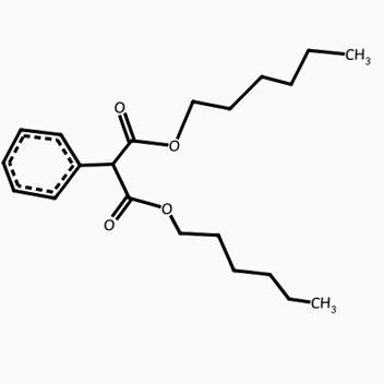 CCCCCCOC(=O)C(C(=O)OCCCCCC)c1ccccc1